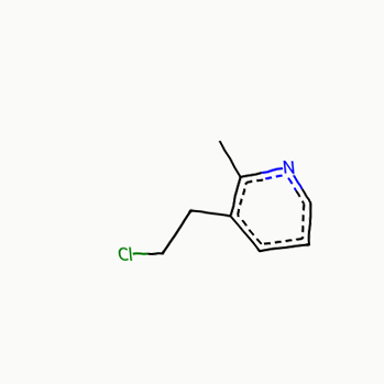 Cc1ncccc1CCCl